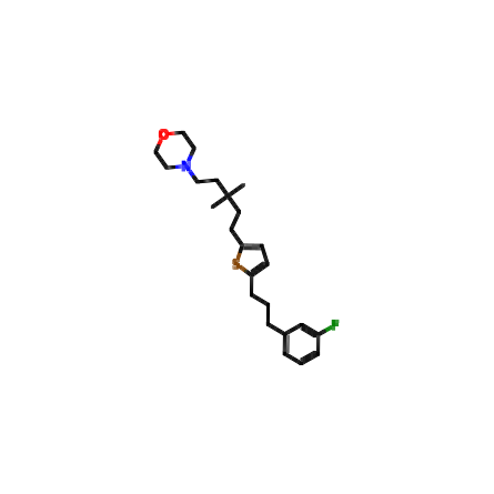 CC(C)(CCc1ccc(CCCc2cccc(F)c2)s1)CCN1CCOCC1